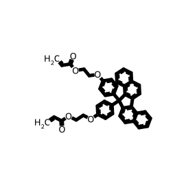 C=CC(=O)OCCOc1ccc(C2(c3ccc(OCCOC(=O)C=C)cc3)c3ccc4ccccc4c3-c3ccc4ccccc4c32)cc1